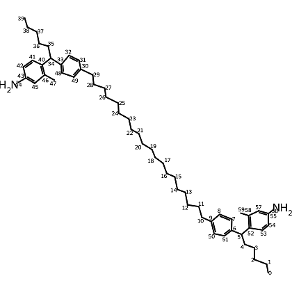 CCCCCC(c1ccc(CCCCCCCCCCCCCCCCCCCCc2ccc(C(CCCCC)c3ccc(N)cc3C)cc2)cc1)c1ccc(N)cc1C